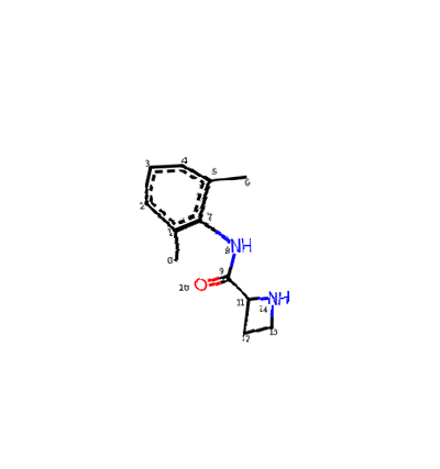 Cc1cccc(C)c1NC(=O)C1CCN1